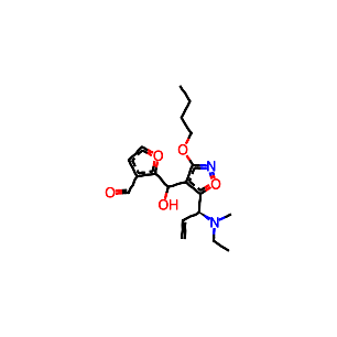 C=C[C@@H](c1onc(OCCCC)c1C(O)c1occc1C=O)N(C)CC